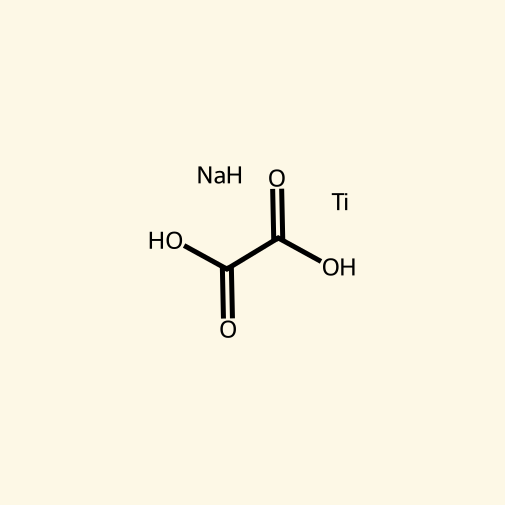 O=C(O)C(=O)O.[NaH].[Ti]